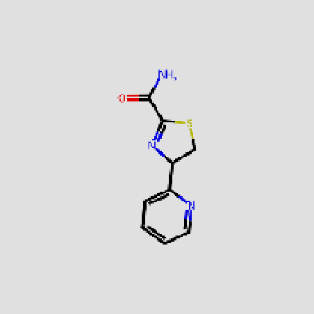 NC(=O)C1=NC(c2ccccn2)CS1